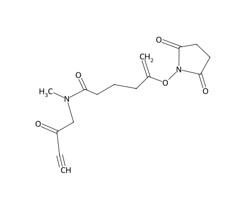 C#CC(=O)CN(C)C(=O)CCCC(=C)ON1C(=O)CCC1=O